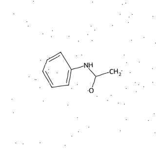 [CH2]C([O])Nc1ccccc1